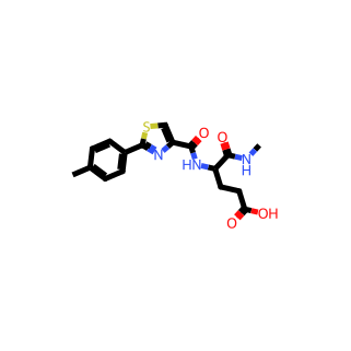 CNC(=O)C(CCC(=O)O)NC(=O)c1csc(-c2ccc(C)cc2)n1